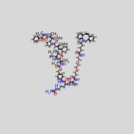 CO[C@H]([C@@H](C)C(=O)N[C@H](C)[C@@H](O)c1ccccc1)[C@@H]1CCCN1C(=O)C[C@@H](OC)[C@H](C1CCCCC1)N(C)C(=O)[C@@H](NC(=O)C(C)(C)NC(=O)OCc1ccc(NC(=O)C(CCCNC(N)=O)NC(=O)[C@@H](NC(=O)CCOCCOCCNC(=O)CCCC(=O)N2Cc3ccccc3C#Cc3ccccc32)C(C)C)cc1)C(C)C